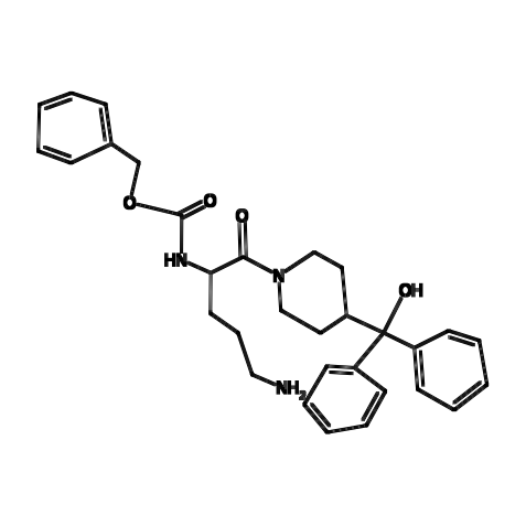 NCCCC(NC(=O)OCc1ccccc1)C(=O)N1CCC(C(O)(c2ccccc2)c2ccccc2)CC1